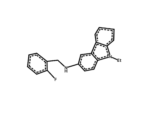 CCn1c2ccccc2c2cc(NCc3ccccc3F)ccc21